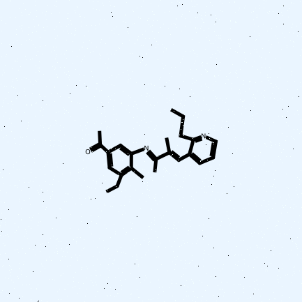 CCCc1ncccc1/C=C(C)/C(C)=N/c1cc(C(C)=O)cc(CC)c1C